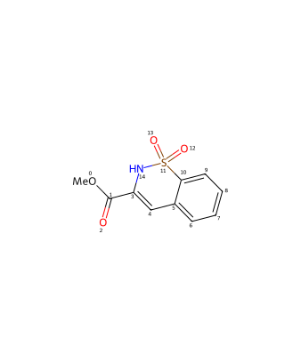 COC(=O)C1=Cc2ccccc2S(=O)(=O)N1